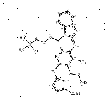 CCOC(=O)c1csc(Nc2nnc(N=c3sc4ccccc4n3COCC[Si](C)(C)C)c(C)c2CCC=O)n1